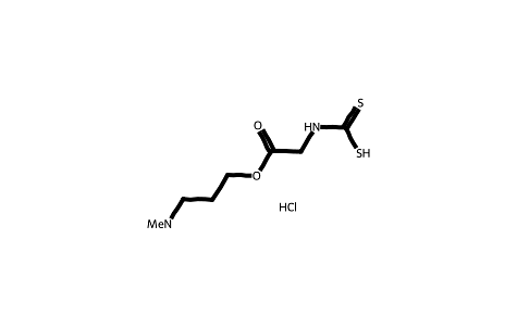 CNCCCOC(=O)CNC(=S)S.Cl